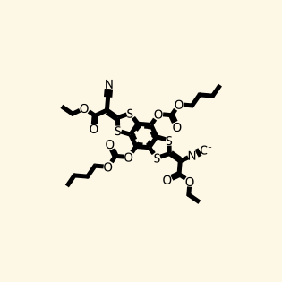 [C-]#[N+]C(C(=O)OCC)=C1Sc2c(OC(=O)OCCCC)c3c(c(OC(=O)OCCCC)c2S1)SC(=C(C#N)C(=O)OCC)S3